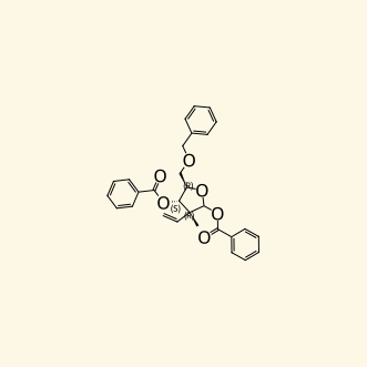 C=C[C@@]1(C)C(OC(=O)c2ccccc2)O[C@H](COCc2ccccc2)[C@H]1OC(=O)c1ccccc1